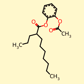 CCCCCCCC(CCC)C(=O)Oc1ccccc1OC(C)=O